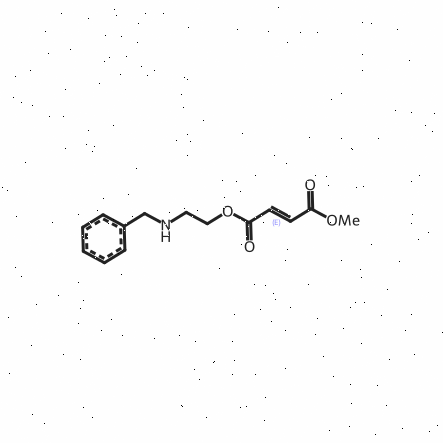 COC(=O)/C=C/C(=O)OCCNCc1ccccc1